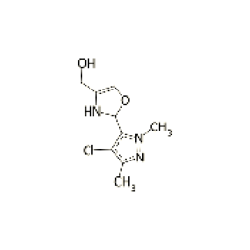 Cc1nn(C)c(C2NC(CO)=CO2)c1Cl